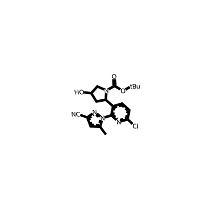 Cc1cc(C#N)nn1-c1nc(Cl)ccc1C1CC(O)CN1C(=O)OC(C)(C)C